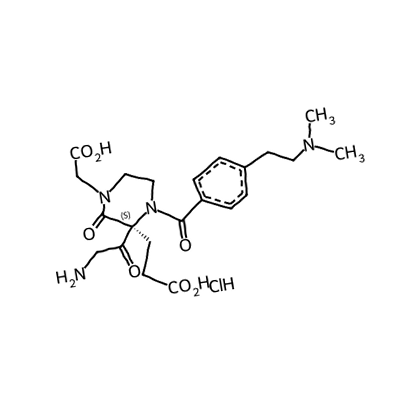 CN(C)CCc1ccc(C(=O)N2CCN(CC(=O)O)C(=O)[C@]2(CCC(=O)O)C(=O)CN)cc1.Cl